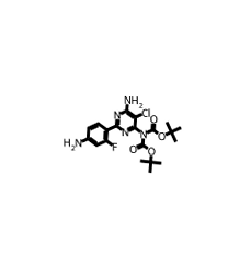 CC(C)(C)OC(=O)N(C(=O)OC(C)(C)C)c1nc(-c2ccc(N)cc2F)nc(N)c1Cl